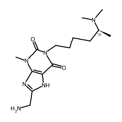 C[C@@H](CCCCn1c(=O)c2[nH]c(CN)nc2n(C)c1=O)N(C)C